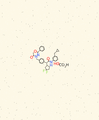 O=C(Nc1cccc(CC2CC2)c1)C(c1ccc(CN2N=C(c3ccccc3)OCC2=O)cc1)C1CCC(F)(F)C1.O=C(O)O